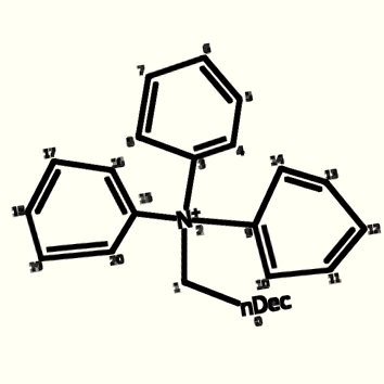 CCCCCCCCCCC[N+](c1ccccc1)(c1ccccc1)c1ccccc1